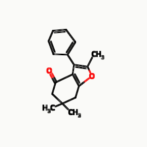 Cc1oc2c(c1-c1ccccc1)C(=O)CC(C)(C)C2